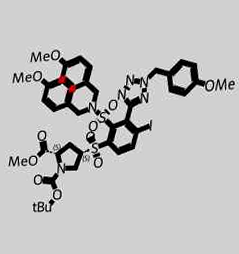 COC(=O)[C@@H]1C[C@H](S(=O)(=O)c2ccc(I)c(-c3nnn(Cc4ccc(OC)cc4)n3)c2S(=O)(=O)N(Cc2ccc(OC)cc2)Cc2ccc(OC)cc2)CN1C(=O)OC(C)(C)C